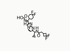 O=C(O)N[C@H](c1cn2ccc(C(NC(=O)CC3CC(F)(F)C3)C3CC3)nc2n1)C1CCC(F)(F)CC1